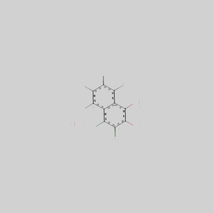 O.Oc1c(F)c(F)c2c(F)c(F)c(F)c(F)c2c1O